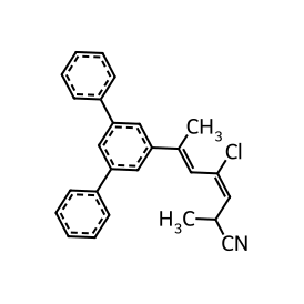 C/C(=C\C(Cl)=C/C(C)C#N)c1cc(-c2ccccc2)cc(-c2ccccc2)c1